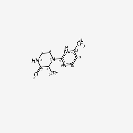 CC(C)C1C(=O)NCCN1c1nccc(C(F)(F)F)n1